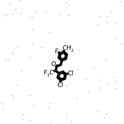 Cc1ccc(CC(=O)C(c2cc(Cl)cc(Cl)c2)C(F)(F)F)cc1F